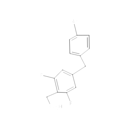 CC(=O)c1ccc(Cc2cc(F)c(CC(=O)O)c(F)c2)cc1